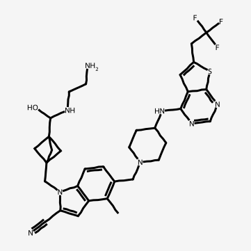 Cc1c(CN2CCC(Nc3ncnc4sc(CC(F)(F)F)cc34)CC2)ccc2c1cc(C#N)n2CC12CC(C(O)NCCN)(C1)C2